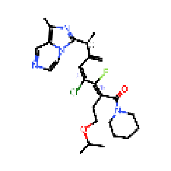 C=C(/C=C(Cl)\C(F)=C(/CCOC(C)C)C(=O)N1CCCCC1)[C@H](C)c1nc(C)c2cnccn12